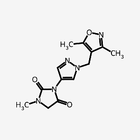 Cc1noc(C)c1Cn1cc(N2C(=O)CN(C)C2=O)cn1